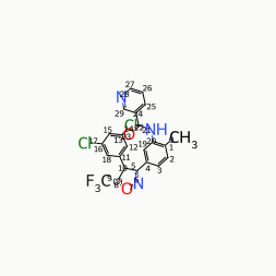 Cc1ccc(C2=NO[C@H](C(F)(F)F)C2c2cc(Cl)cc(Cl)c2)cc1NC(=O)c1cccnc1